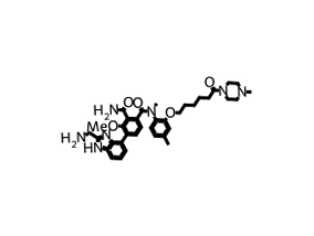 COc1c(-c2cccc3[nH]c(CN)nc23)ccc(C(=O)N(C)c2ccc(C)cc2OCCCCCC(=O)N2CCN(C)CC2)c1C(N)=O